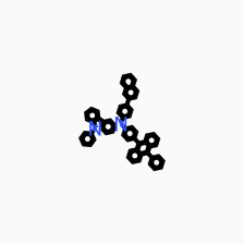 c1ccc(-c2c3ccccc3c(-c3ccc(N(c4ccc(-c5ccc6ccccc6c5)cc4)c4ccc5c(c4)c4ccccc4n5-c4ccccc4)cc3)c3ccccc23)cc1